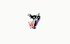 OC1(C2CCCN2)CN(COCc2ccc(F)c(F)c2Nc2ccc(I)cc2F)C1